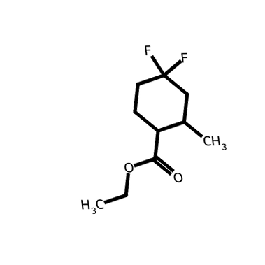 CCOC(=O)C1CCC(F)(F)CC1C